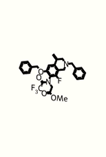 C=C1CN(Cc2ccccc2)Cc2c1cc(OCc1ccccc1)c(N(CC(=O)OC)C(=O)C(F)(F)F)c2F